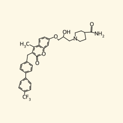 Cc1c(Cc2ccc(-c3ccc(C(F)(F)F)cc3)cc2)c(=O)oc2cc(OCC(O)CN3CCC(C(N)=O)CC3)ccc12